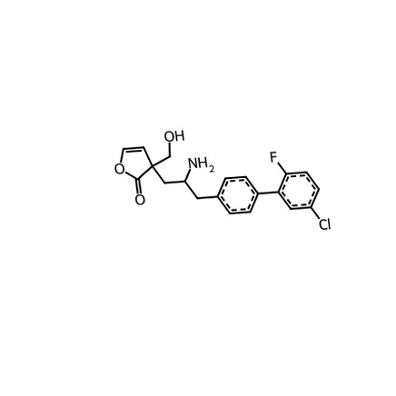 NC(Cc1ccc(-c2cc(Cl)ccc2F)cc1)CC1(CO)C=COC1=O